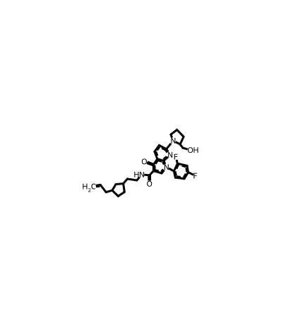 C=CCC1CCC(CCNC(=O)c2cn(-c3ccc(F)cc3F)c3nc(N4CCCC4CO)ccc3c2=O)C1